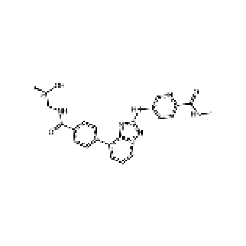 CNC(=O)c1ccc(Nc2nc3c(-c4ccc(C(=O)NC[C@@H](C)O)cc4)cccn3n2)cn1